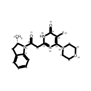 C[C@H]1Cc2ccccc2N1C(=O)Cc1nc(N2CCOCC2)c(F)c(=O)[nH]1